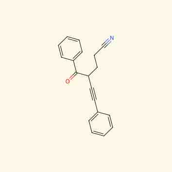 N#CCCC(C#Cc1ccccc1)C(=O)c1ccccc1